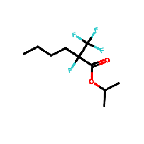 CCCCC(F)(C(=O)OC(C)C)C(F)(F)F